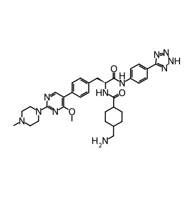 COc1nc(N2CCN(C)CC2)ncc1-c1ccc(C[C@H](NC(=O)C2CCC(CN)CC2)C(=O)Nc2ccc(-c3nn[nH]n3)cc2)cc1